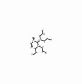 C=C[SiH](C)C(N(CCC)CCC)N(CCC)CCC